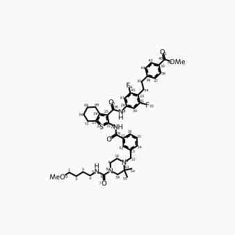 COCCCCNC(=O)N1CCN(Cc2cccc(C(=O)Nc3sc4c(c3C(=O)Nc3cc(F)c(CCc5ccc(C(=O)OC)cc5)c(F)c3)CCCC4)c2)C(C)(C)C1